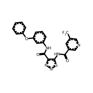 O=C(Nc1snnc1C(=O)Nc1cccc(Oc2ccccc2)c1)c1cncc(C(F)(F)F)c1